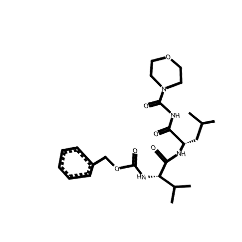 CC(C)C[C@H](NC(=O)[C@@H](NC(=O)OCc1ccccc1)C(C)C)C(=O)NC(=O)N1CCOCC1